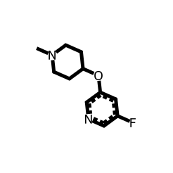 CN1CCC(Oc2cncc(F)c2)CC1